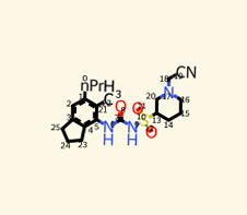 CCCc1cc2c(c(NC(=O)NS(=O)(=O)C3CCCN(CC#N)C3)c1C)CCC2